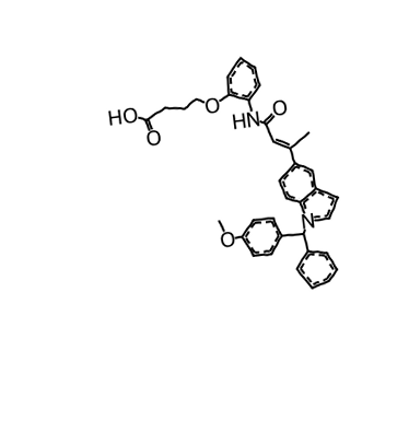 COc1ccc(C(c2ccccc2)n2ccc3cc(C(C)=CC(=O)Nc4ccccc4OCCCC(=O)O)ccc32)cc1